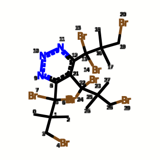 CC(C)(CBr)C(Br)(Br)c1nnnc(C(Br)(Br)C(C)(C)CBr)c1C(Br)(Br)C(C)(C)CBr